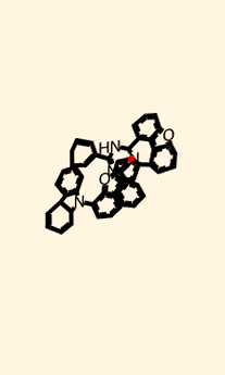 C1=CC2c3ccccc3N(c3cccc4c3oc3ccc(-c5cccc6oc7cccc(C8N=C(c9ccccc9)N=C(C9=CCCC=C9)N8)c7c56)cc34)C2C=C1